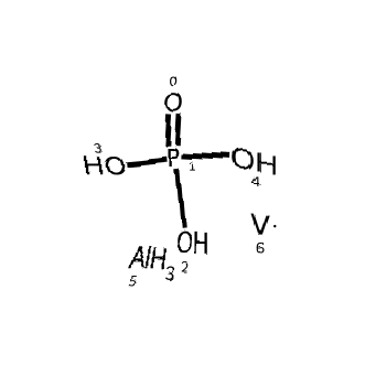 O=P(O)(O)O.[AlH3].[V]